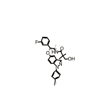 C[C@H](NC(=O)C(C)(C)CO)[C@H](Oc1ccc2c(cnn2-c2ccc(F)cc2)c1)c1cccc(F)c1